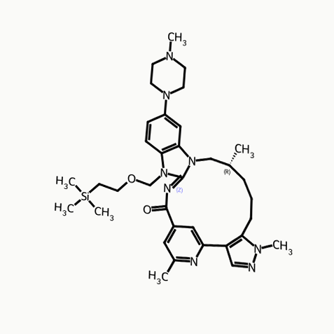 Cc1cc2cc(n1)-c1cnn(C)c1CCC[C@@H](C)CN1/C(=N/C2=O)N(COCC[Si](C)(C)C)c2ccc(N3CCN(C)CC3)cc21